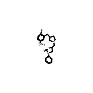 COc1ccc(Br)c(CC2CCN(CC3CN(c4ccccc4)C(=O)O3)C2)c1